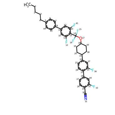 CCCCCc1ccc(-c2cc(F)c(C(F)(F)OC3CCC(c4ccc(-c5ccc(C#N)c(F)c5)c(F)c4)CC3)c(F)c2)cc1